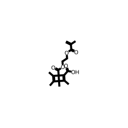 C=C(C)C(=O)OCCOC(=O)C12C(C)=C(C)C1(C)C(C)=C2C(=O)O